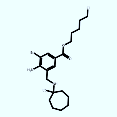 CCC1(NCc2cc(C(=O)OCCCCCCl)cc(Br)c2N)CCCCCC1